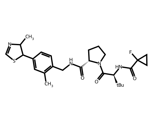 Cc1cc(C2SC=NC2C)ccc1CNC(=O)[C@@H]1CCCN1C(=O)[C@@H](NC(=O)C1(F)CC1)C(C)(C)C